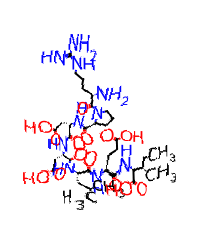 CC[C@H](C)[C@H](NC(=O)[C@H](CCC(=O)O)NC(=O)[C@H](CC(C)C)NC(=O)[C@H](CC(=O)O)NC(=O)[C@H](CC(=O)O)NC(=O)[C@@H]1CCCN1C(=O)[C@@H](N)CCCNC(=N)N)C(=O)O